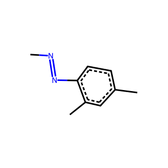 C/N=N/c1ccc(C)cc1C